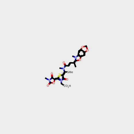 CS/C(=c1/s/c(=C2/OC(=O)N(C)C2=O)n(CC(=O)O)c1=O)N(C)C(=O)C=C/C(C)=C1/Oc2cc3c(cc2N1C)OCO3